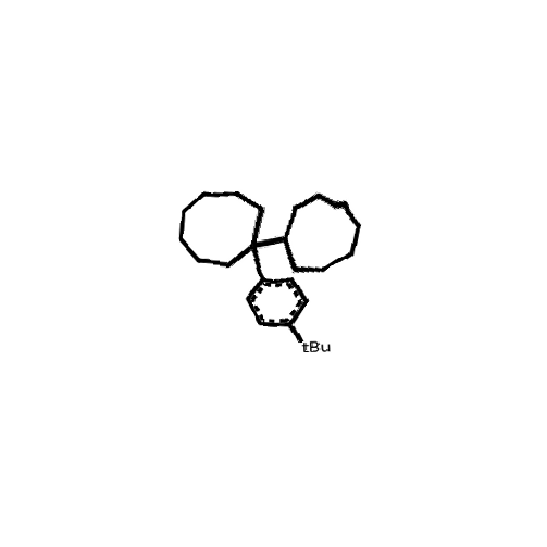 CC(C)(C)c1ccc(C2(C3CCCCCCC3)CCCCCCC2)cc1